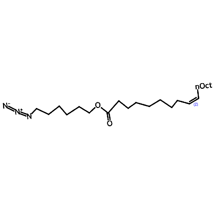 CCCCCCCC/C=C\CCCCCCCC(=O)OCCCCCCN=[N+]=[N-]